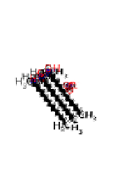 CCCCCCCCCCCCCCCCCC[N+](C)(C)O.CCCCCCCCCCCCCCCCCC[N+](C)(C)O.CCCCCCCCCCCCCCCCCC[N+](C)(C)O.[O-]P([O-])[O-]